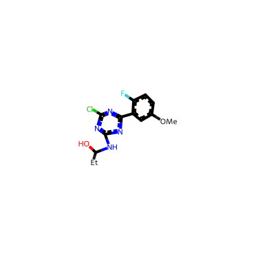 CCC(O)Nc1nc(Cl)nc(-c2cc(OC)ccc2F)n1